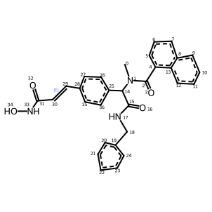 CN(C(=O)c1cccc2ccccc12)C(C(=O)NCc1ccccc1)c1ccc(/C=C/C(=O)NO)cc1